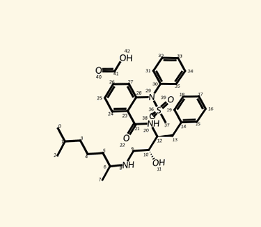 CC(C)CCCC(C)NC[C@@H](O)[C@H](Cc1ccccc1)NC(=O)c1ccccc1N(c1ccccc1)S(C)(=O)=O.O=CO